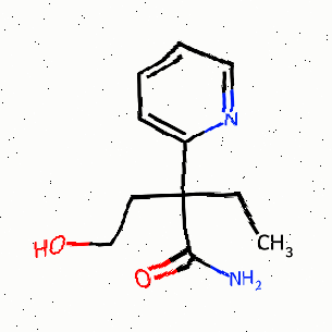 CCC(CCO)(C(N)=O)c1ccccn1